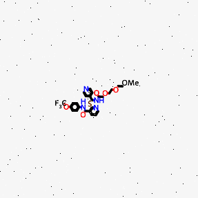 COCCOCCOCC(=O)NC(Sc1ncccc1C(=O)Nc1ccc(OC(F)(F)F)cc1)c1ccncc1